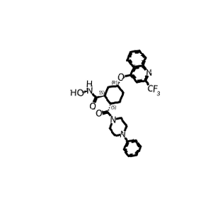 O=C(NO)[C@H]1C[C@H](Oc2cc(C(F)(F)F)nc3ccccc23)CC[C@@H]1C(=O)N1CCN(c2ccccc2)CC1